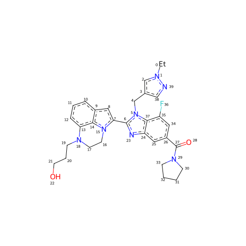 CCn1cc(Cn2c(-c3cc4cccc5c4n3CCN5CCCO)nc3cc(C(=O)N4CCCC4)cc(F)c32)cn1